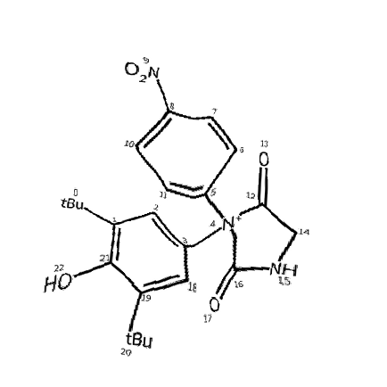 CC(C)(C)c1cc([N+]2(c3ccc([N+](=O)[O-])cc3)C(=O)CNC2=O)cc(C(C)(C)C)c1O